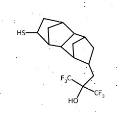 OC(CC1CC2CC1C1C3CC(CC3S)C21)(C(F)(F)F)C(F)(F)F